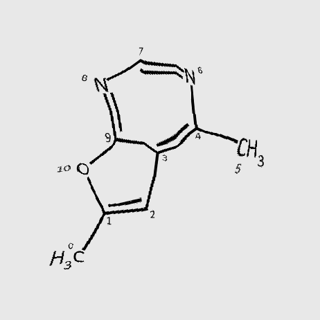 Cc1cc2c(C)ncnc2o1